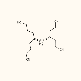 C=C(CCC#N)CCC#N.C=C(CCCC#N)CCCC#N